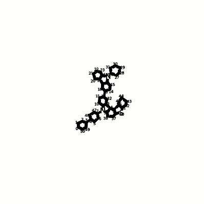 c1ccc(-c2ccc(-n3c4ccc(-c5ccc6c(c5)c5ccccc5n6-c5ccccc5)cc4c4c5c(ccc43)sc3ccccc35)cc2)cc1